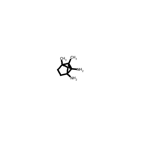 CC1=C(N)C2(N)CCC1(C)C2